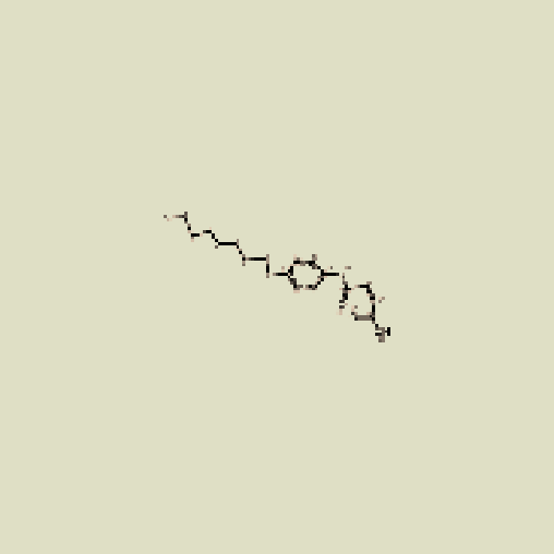 CCCCCCCCCc1ccc(OC(=O)/C=C\C(=O)O)cc1